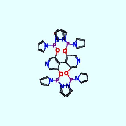 c1ccn(P(Oc2cncc(OP(n3cccc3)n3cccc3)c2-c2c(OP(n3cccc3)n3cccc3)cncc2OP(n2cccc2)n2cccc2)n2cccc2)c1